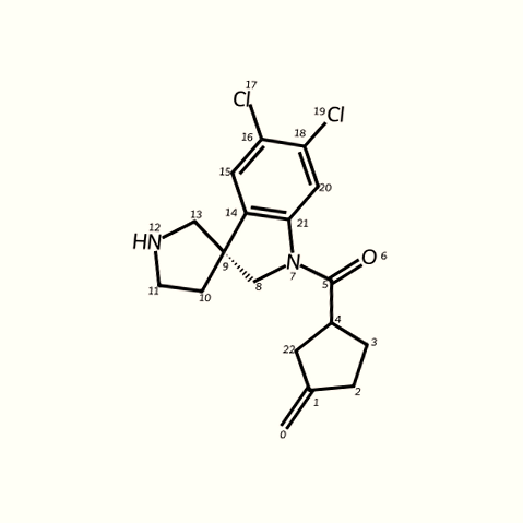 C=C1CCC(C(=O)N2C[C@@]3(CCNC3)c3cc(Cl)c(Cl)cc32)C1